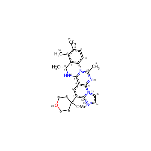 COC1(c2cc3c(N[C@H](C)c4cccc(C(F)(F)F)c4C)nc(C)nc3n3ccnc23)CCOCC1